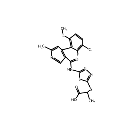 COc1ccc(Cl)c(F)c1-c1cc(C)ncc1C(=O)Nc1nnc(SC(C)C(=O)O)s1